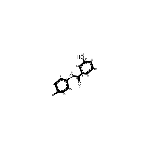 Cc1ccc(OC(=O)c2cccc(O)c2)cc1